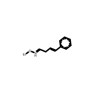 CCO[SiH]=CCC=Cc1ccccc1